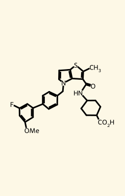 COc1cc(F)cc(-c2ccc(Cn3ccc4sc(C)c(C(=O)NC5CCC(C(=O)O)CC5)c43)cc2)c1